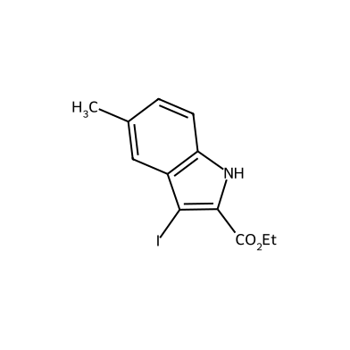 CCOC(=O)c1[nH]c2ccc(C)cc2c1I